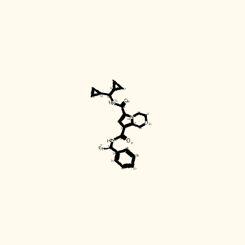 CC[C@@H](NC(=O)c1cc(C(=O)NC(C2CC2)C2CC2)n2c1COCC2)c1ccccc1